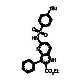 CCOC(=O)c1[nH]c2ccc(NS(=O)(=O)c3ccc(C(C)(C)C)cc3)nc2c1-c1ccccc1